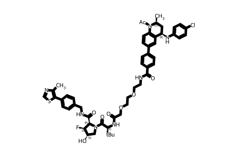 CC(=O)N1c2ccc(-c3ccc(C(=O)NCCOCCOCC(=O)N[C@H](C(=O)N4C[C@H](O)[C@@H](F)[C@H]4C(=O)NCc4ccc(-c5scnc5C)cc4)C(C)(C)C)cc3)cc2[C@H](Nc2ccc(Cl)cc2)C[C@@H]1C